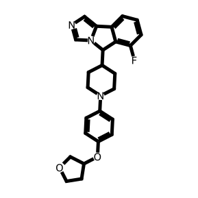 Fc1cccc2c1C(C1CCN(c3ccc(OC4CCOC4)cc3)CC1)n1cncc1-2